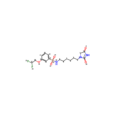 O=C1CN(CCCCCCNS(=O)(=O)c2cccc(OCC(F)F)c2)C(=O)N1